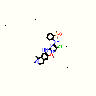 COc1cc2c(cc1Nc1ncc(Cl)c(Nc3ccccc3P(C)(C)=O)n1)C(C)N(C)CC2